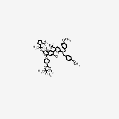 COc1ccc(CN(Cc2ccc(OC)cc2)c2ccc(C(F)(F)F)c(-c3cc4nc(OC(C)(C)C5CCCN5C)nc(N5CCN(C(=O)OC(C)(C)C)CC5)c4cc3Cl)n2)cc1